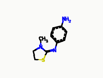 CN1CCSC1=Nc1ccc(N)cc1